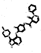 CN1CCN(c2n[nH]c3nccc(Oc4ccc(NC(=O)c5ccnn(-c6ccccn6)c5=O)cc4F)c23)CC1